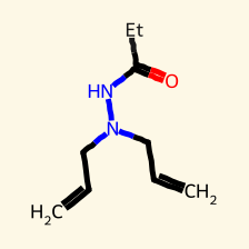 C=CCN(CC=C)NC(=O)CC